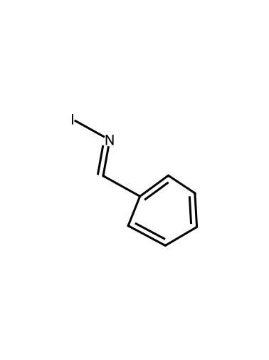 I/N=C/c1ccccc1